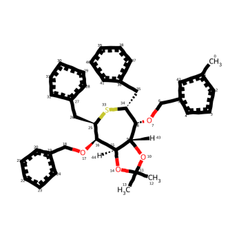 Cc1cccc(CO[C@@H]2[C@@H]3OC(C)(C)O[C@H]3[C@@H](OCc3ccccc3)[C@@H](Cc3ccccc3)S[C@@H]2Cc2ccccc2)c1